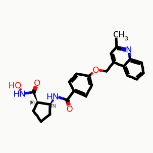 Cc1cc(COc2ccc(C(=O)N[C@H]3CCC[C@H]3C(=O)NO)cc2)c2ccccc2n1